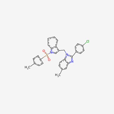 Cc1ccc(S(=O)(=O)n2cc(Cn3c(-c4ccc(Cl)cc4)nc4cc(C)ccc43)c3ccccc32)cc1